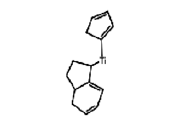 C1=CC[C]([Ti][CH]2CCC3CC=CC=C32)=C1